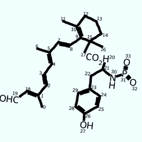 CC(C=CC=C(C)C=CC1=C(C)CCCC1(C)C)=CC=O.O=C(O)C(Cc1ccc(O)cc1)NP(=O)=O